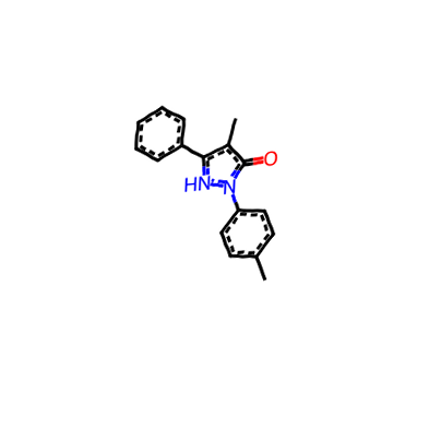 Cc1ccc(-n2[nH]c(-c3ccccc3)c(C)c2=O)cc1